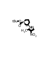 Cc1c([N+](=O)[O-])cnn1[C@@H]1CCCN(C(=O)OC(C)(C)C)C1